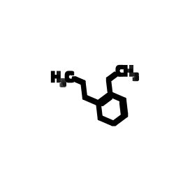 CCCC1=C(CC)C=CCC1